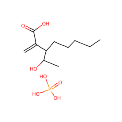 C=C(C(=O)O)C(CCCCC)C(C)O.O=P(O)(O)O